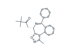 Cc1noc2c1-c1ccccc1C(c1ccccc1)=N[C@H]2CC(=O)C(C)(C)C